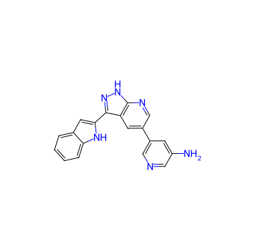 Nc1cncc(-c2cnc3[nH]nc(-c4cc5ccccc5[nH]4)c3c2)c1